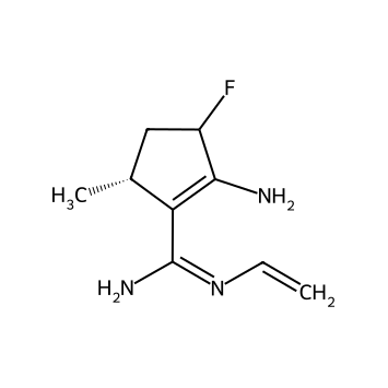 C=C/N=C(/N)C1=C(N)C(F)C[C@H]1C